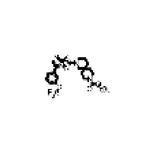 CC(C)(C)OC(=O)N1CCC2(CCCN(c3nn4c(-c5cccc(OC(F)(F)F)c5)cnc4s3)C2)CC1